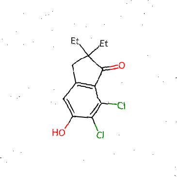 CCC1(CC)Cc2cc(O)c(Cl)c(Cl)c2C1=O